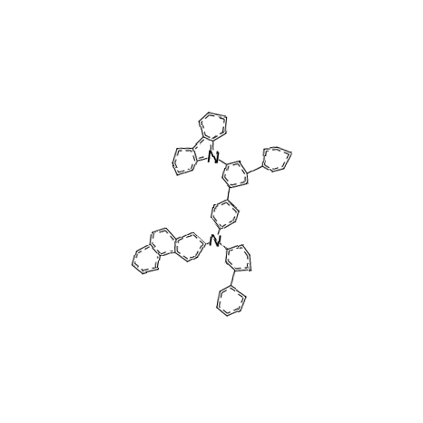 c1ccc(-c2cccc(N(c3ccc(-c4cc(-c5ccccc5)cc(-n5c6ccccc6c6ccccc65)c4)cc3)c3ccc4c(ccc5ccccc54)c3)c2)cc1